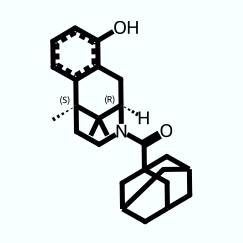 CC1(C)[C@H]2Cc3c(O)cccc3[C@]1(C)CCN2C(=O)C12CC3CC(CC(C3)C1)C2